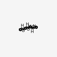 Nc1ccccc1CC(=O)Nc1cccc(C(=O)Nc2ccc(C(=O)NC3C=CC=CC3)cc2)c1